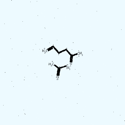 C=CCCC(C)=O.CC(C)=O